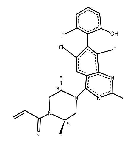 C=CC(=O)N1C[C@H](C)N(c2nc(C)nc3c(F)c(-c4c(O)cccc4F)c(Cl)cc23)C[C@H]1C